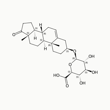 C[C@]12CC[C@H](O[C@@H]3O[C@H](C(=O)O)[C@@H](O)[C@H](O)[C@H]3O)CC1=CC[C@@H]1[C@@H]2CC[C@]2(C)C(=O)CC[C@@H]12